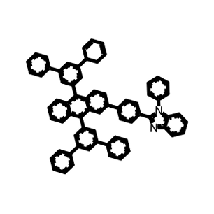 C1=CCC(c2cc(-c3ccccc3)cc(-c3c4ccccc4c(-c4cc(-c5ccccc5)cc(-c5ccccc5)c4)c4cc(-c5ccc(-c6nc7ccccc7n6-c6ccccc6)cc5)ccc34)c2)C=C1